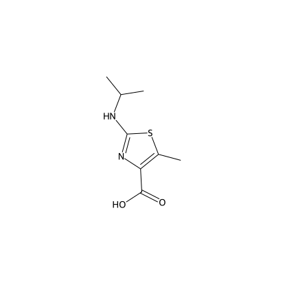 Cc1sc(NC(C)C)nc1C(=O)O